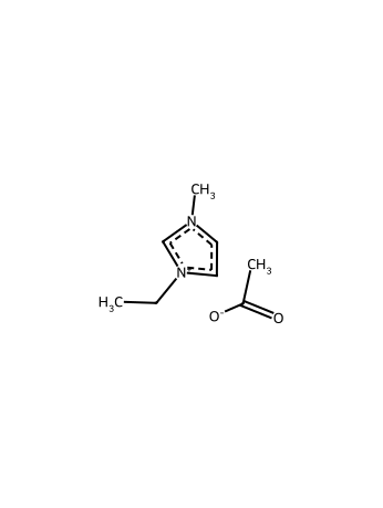 CC(=O)[O-].CC[n+]1ccn(C)c1